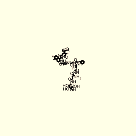 CC[C@@]1(O)C(=O)OCc2c1cc1n(c2=O)Cc2c-1nc1cc(F)c(C)c3c1c2[C@@H](NC(=O)C(C)(C)COCNC(=O)CNC(=O)[C@H](Cc1ccccc1)NC(=O)CNC(=O)CNC(=O)[C@@H](N)CCC(=O)NC[C@@H]1O[C@H](CO)[C@@H](O)[C@H](O)[C@H]1O)CC3